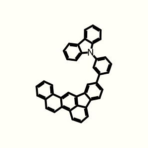 c1cc(-c2ccc3c(c2)-c2cc4c5ccccc5ccc4c4cccc-3c24)cc(-n2c3ccccc3c3ccccc32)c1